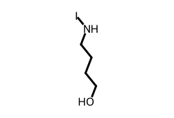 OCCCCNI